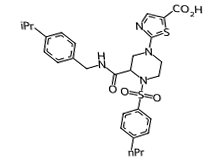 CCCc1ccc(S(=O)(=O)N2CCN(c3ncc(C(=O)O)s3)CC2C(=O)NCc2ccc(C(C)C)cc2)cc1